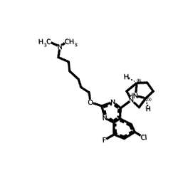 CN(C)CCCCCCOc1nc(N2C[C@H]3CC[C@@H](C2)N3)c2cc(Cl)cc(F)c2n1